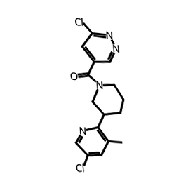 Cc1cc(Cl)cnc1C1CCCN(C(=O)c2cnnc(Cl)c2)C1